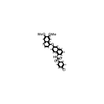 COc1cc2nccc(Oc3ccc4c(NS(=O)(=O)C5C=CC(Cl)=CC5)cccc4c3)c2cc1OC